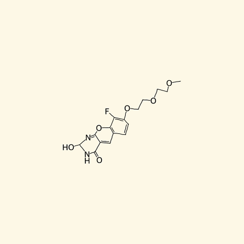 COCCOCCOc1ccc2c(c1F)OC1=NC(O)NC(=O)C1=C2